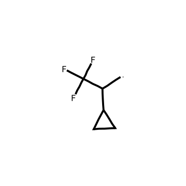 [CH2]C(C1CC1)C(F)(F)F